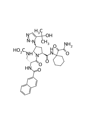 CC(C)(O)c1cnnn1[C@H]1C[C@@H](C(=O)NC2(C(=O)C(N)=O)CCCCC2)N(C(=O)[C@@H](CNC(=O)O)NC(=O)c2ccc3ccccc3c2)C1